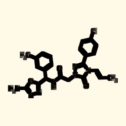 Nc1nnc(C(NC(=O)Cn2nc(-c3ccc(Cl)cc3)n(C=CC(F)(F)F)c2=O)c2cccc(C(F)(F)F)c2)o1